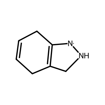 C1=CCC2=C(C1)CN[N]2